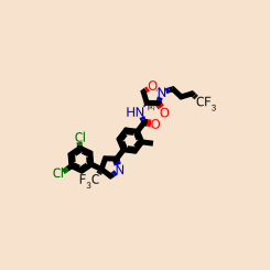 Cc1cc(C2=NCC(c3cc(Cl)cc(Cl)c3)(C(F)(F)F)C2)ccc1C(=O)N[C@@H]1CON(CCCC(F)(F)F)C1=O